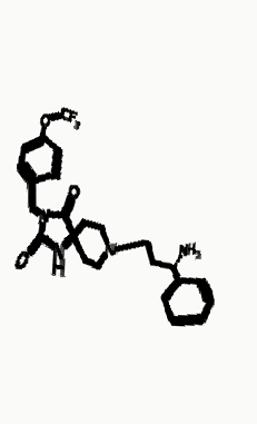 N[C@@H](CCN1CCC2(CC1)NC(=O)N(Cc1ccc(OC(F)(F)F)cc1)C2=O)c1ccccc1